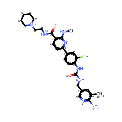 CCNc1nc(-c2ccc(NC(=O)NCc3cnc(N)c(C)c3)c(F)c2)ccc1C(=O)NCCN1CCCCC1